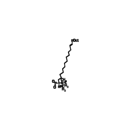 CCCCCCCCC=CCCCCCCCCCCCCC(CCC)(P(=O)=O)[N+](C)(C)C